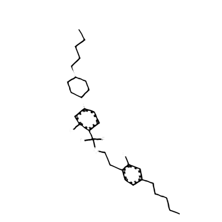 CCCCCc1ccc(CCOC(F)(F)c2ccc([C@H]3CC[C@H](CCCCC)CC3)cc2F)c(F)c1